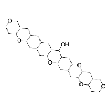 OC1C2CC3CC4CC5COCCC5OC4CC3CC2OC2CC3CC4OC5CCOCC5CC4OC3CC21